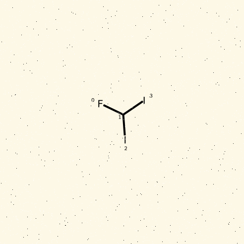 FC(I)I